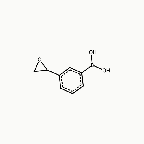 OB(O)c1cccc(C2CO2)c1